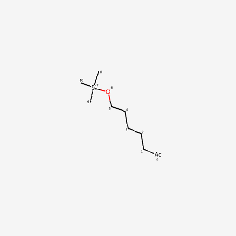 CC(=O)CCCCCO[Si](C)(C)C